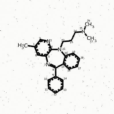 Cc1cnc2c(c1)N=C(c1ccccc1)c1ccccc1N2CCCN(C)C